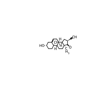 C#C[C@@H]1C[C@H]2[C@@H]3CC=C4C[C@@H](O)CC[C@]4(C)[C@H]3CC[C@]2(C)C1=O